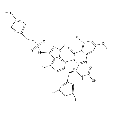 COc1ccc(CCS(=O)(=O)Nc2nn(C)c3c(-n4c([C@H](Cc5cc(F)cc(F)c5)NC(=O)O)nc5cc(OC)cc(F)c5c4=O)ccc(Cl)c23)cc1